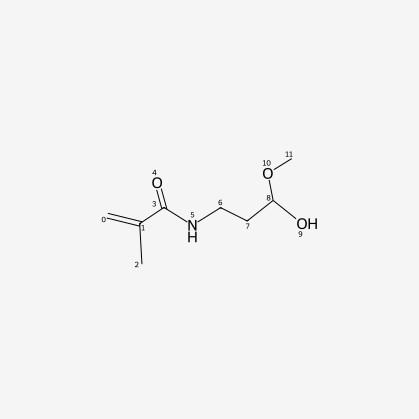 C=C(C)C(=O)NCCC(O)OC